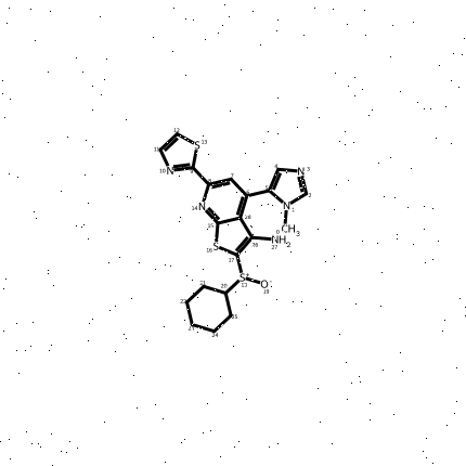 Cn1cncc1-c1cc(-c2nccs2)nc2sc([S+]([O-])C3CCCCC3)c(N)c12